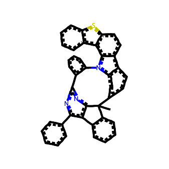 CC12c3ccc4c5ccc6sc7ccccc7c6c5n(c4c3)-c3ccccc3-c3nc(-c4ccccc4)c(c1n3)-c1ccccc12